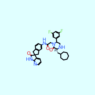 O=C(CN1C(=O)[C@@H](CC2CCCCCC2)NCC1c1cc(F)cc(F)c1)Nc1ccc2c(c1)CC1(C2)C(=O)Nc2ncccc21